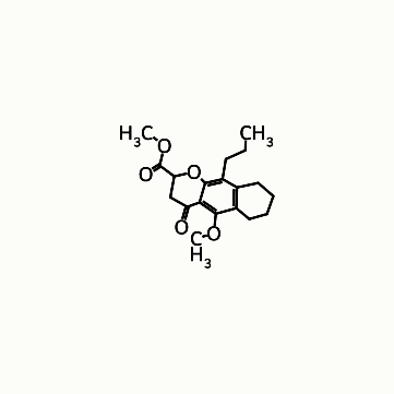 CCCc1c2c(c(OC)c3c1OC(C(=O)OC)CC3=O)CCCC2